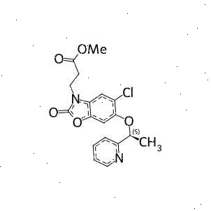 COC(=O)CCn1c(=O)oc2cc(O[C@@H](C)c3ccccn3)c(Cl)cc21